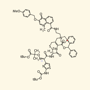 COc1ccc(COc2cn(C)c3c(C(=O)NCC[N+]4(CC5=C(C(=O)OC(c6ccccc6)c6ccccc6)N6C(=O)[C@@H](NC(=O)/C(=N\OC(C)(C)C(=O)OC(C)(C)C)c7csc(NC(=O)OC(C)(C)C)n7)[C@H]6SC5)CCCC4)cccc3c2=O)cc1